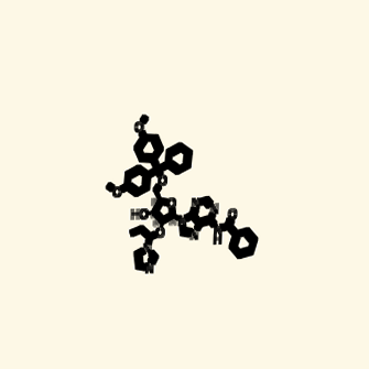 CCC(O[C@@H]1[C@H](O)[C@@H](COC(c2ccccc2)(c2ccc(OC)cc2)c2ccc(OC)cc2)O[C@H]1n1cnc2c(NC(=O)c3ccccc3)ncnc21)n1ccnc1